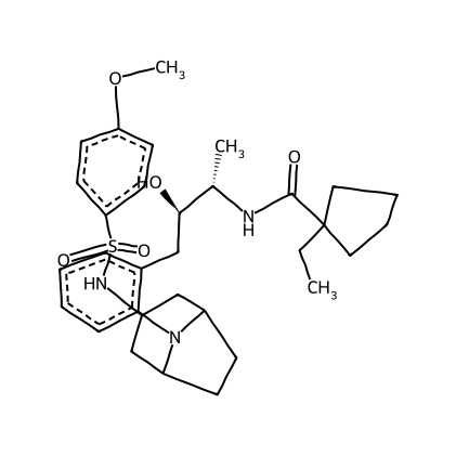 CCC1(C(=O)N[C@@H](C)[C@H](O)Cc2ccccc2N2C3CCC2CC(NS(=O)(=O)c2ccc(OC)cc2)C3)CCCC1